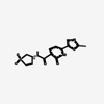 Cc1ncc(-c2ccc(C(=O)N[C@@H]3C=CS(=O)(=O)C3)c(=O)[nH]2)s1